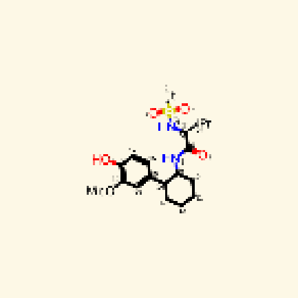 CCS(=O)(=O)N[C@H](C(=O)NC1CCCCC1c1ccc(O)c(OC)c1)C(C)C